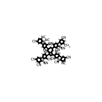 [C-]#[N+]B1c2c([N+]#[C-])cc([N+]#[C-])cc2-c2cc(C#N)c(-c3cc(-c4c([N+]#[C-])cc5c(c4C#N)B(C#N)c4c(C)cc(C#N)cc4-5)cc4c(-c5c([N+]#[C-])cc6c(c5[N+]#[C-])B([N+]#[C-])c5c([N+]#[C-])cc(C#N)cc5-6)cc(-c5c(C#N)cc6c(c5C#N)B(C#N)c5c(C#N)cc([N+]#[C-])cc5-6)c-4c3)c([N+]#[C-])c21